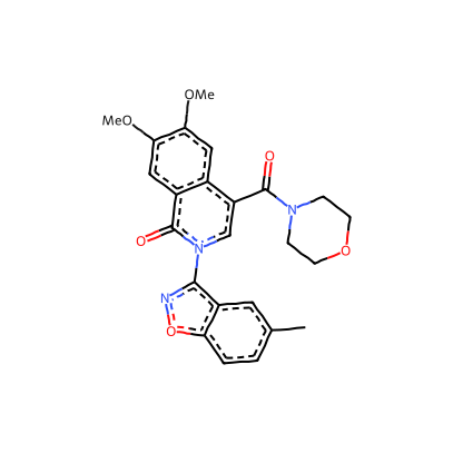 COc1cc2c(C(=O)N3CCOCC3)cn(-c3noc4ccc(C)cc34)c(=O)c2cc1OC